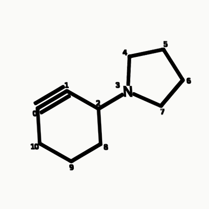 C1#CC(N2CCCC2)CCC1